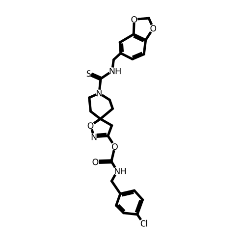 O=C(NCc1ccc(Cl)cc1)OC1=NOC2(CCN(C(=S)NCc3ccc4c(c3)OCO4)CC2)C1